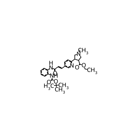 CCOC(=O)C1CN(C)CC1c1ccc(/C=C/C(=O)Nc2ccccc2NC(=O)OC(C)(C)C)cn1